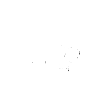 CCOC(=O)c1cnn2ccc(C)c(F)c12